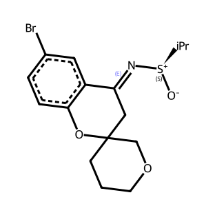 CC(C)[S@@+]([O-])/N=C1\CC2(CCCOC2)Oc2ccc(Br)cc21